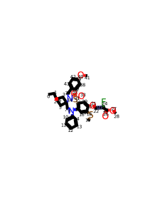 CCCCC1(CC)CN(c2ccccc2)c2cc(SC)c(O/C=C(\F)C(=O)OC)cc2S(=O)(=O)N1Cc1ccc(OC)cc1